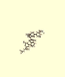 CN(C)CCNc1cc(F)cc(-c2nccc3[nH]c(-c4n[nH]c5ccc(-c6cncc(N)c6)nc45)nc23)c1